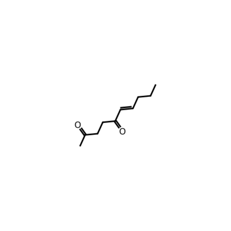 CCCC=CC(=O)CCC(C)=O